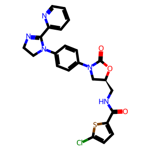 O=C(NC[C@H]1CN(c2ccc(N3CCN=C3c3ccccn3)cc2)C(=O)O1)c1ccc(Cl)s1